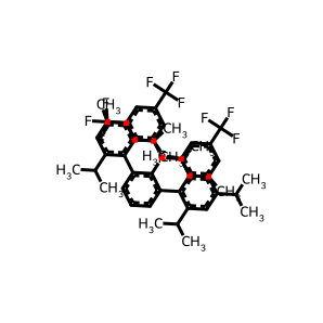 Cc1cc(P(c2cc(C(F)(F)F)cc(C(F)(F)F)c2)c2c(-c3c(C(C)C)cc(C)cc3C(C)C)cccc2-c2c(C(C)C)cc(C(C)C)cc2C(C)C)cc(C(F)(F)F)c1